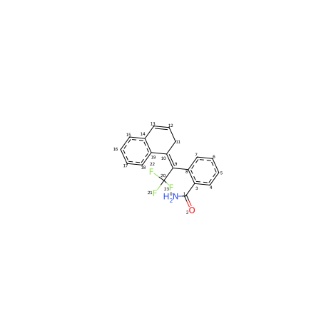 NC(=O)c1ccccc1C(=C1CC=Cc2ccccc21)C(F)(F)F